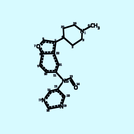 CN1CCC(c2coc3ccc(N(C=O)c4cncnc4)cc23)CC1